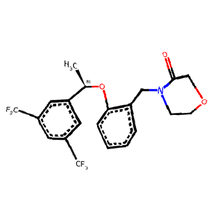 C[C@@H](Oc1ccccc1CN1CCOCC1=O)c1cc(C(F)(F)F)cc(C(F)(F)F)c1